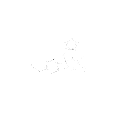 OC(Cn1cncn1)(CC(Cl)(Cl)Cl)c1ccc(CF)cc1